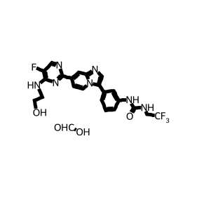 O=C(NCC(F)(F)F)Nc1cccc(-c2cnc3cc(-c4ncc(F)c(NCCO)n4)ccn23)c1.O=CO